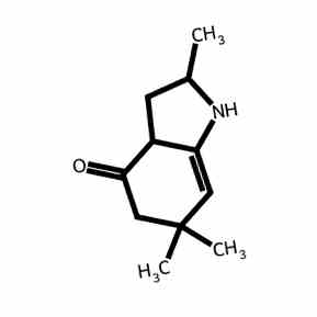 CC1CC2C(=O)CC(C)(C)C=C2N1